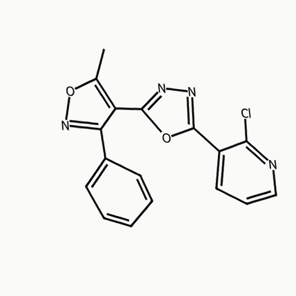 Cc1onc(-c2ccccc2)c1-c1nnc(-c2cccnc2Cl)o1